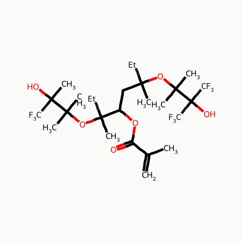 C=C(C)C(=O)OC(CC(C)(CC)OC(C)(C)C(O)(C(F)(F)F)C(F)(F)F)C(C)(CC)OC(C)(C)C(C)(O)C(F)(F)F